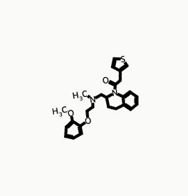 COc1ccccc1OCCN(C)CC1CCc2ccccc2N1C(=O)Cc1ccsc1